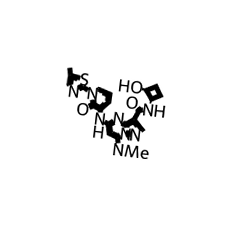 CNc1cc(Nc2cccn(-c3ncc(C)s3)c2=O)nc2c(C(=O)N[C@H]3CC[C@@H]3O)cnn12